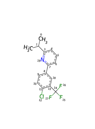 CC(C)c1cccc(-c2ccc(Cl)c(C(F)(F)F)c2)n1